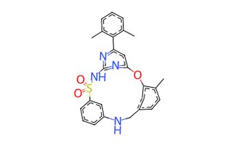 Cc1ccc2cc1Oc1cc(-c3c(C)cccc3C)nc(n1)NS(=O)(=O)c1cccc(c1)NC2